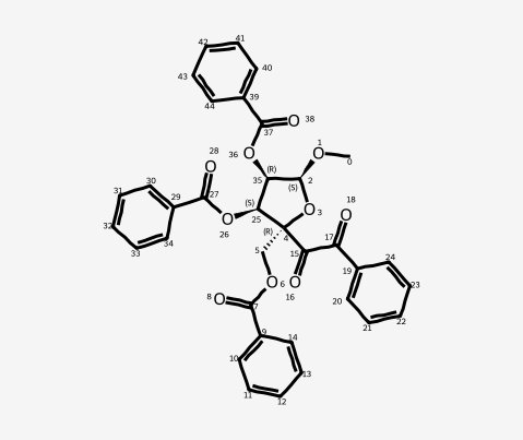 CO[C@H]1O[C@@](COC(=O)c2ccccc2)(C(=O)C(=O)c2ccccc2)[C@@H](OC(=O)c2ccccc2)[C@H]1OC(=O)c1ccccc1